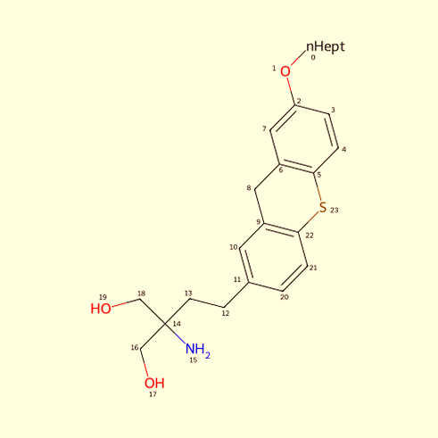 CCCCCCCOc1ccc2c(c1)Cc1cc(CCC(N)(CO)CO)ccc1S2